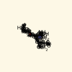 Cc1c(Nc2nc3ccccc3s2)nnc2c1CCCN2c1ccc(-c2cnn(CC34CC5(C)CC(C)(C3)CC(OCCN(CC[C@H](O)CO)C(=O)OCc3ccc(NC(=O)[C@H](CCCNC(N)=O)NC(=O)CNC(=O)CCOCCN6C(=O)C=CC6=O)cc3COC/C(N)=C/N(N)[C@H](COC(N)=O)CC(=O)O)(C5)C4)c2C)c(C(=O)O)n1